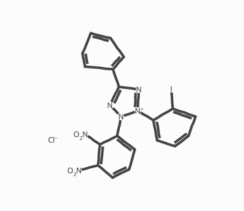 O=[N+]([O-])c1cccc(-n2nc(-c3ccccc3)n[n+]2-c2ccccc2I)c1[N+](=O)[O-].[Cl-]